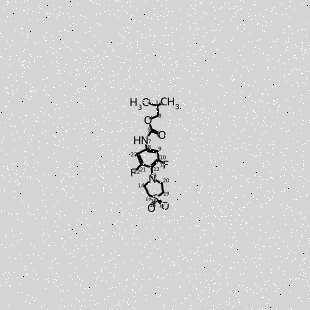 CC(C)COC(=O)Nc1cc(F)c(N2CCS(=O)(=O)CC2)c(F)c1